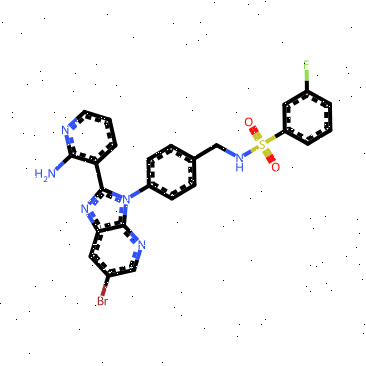 Nc1ncccc1-c1nc2cc(Br)cnc2n1-c1ccc(CNS(=O)(=O)c2cccc(F)c2)cc1